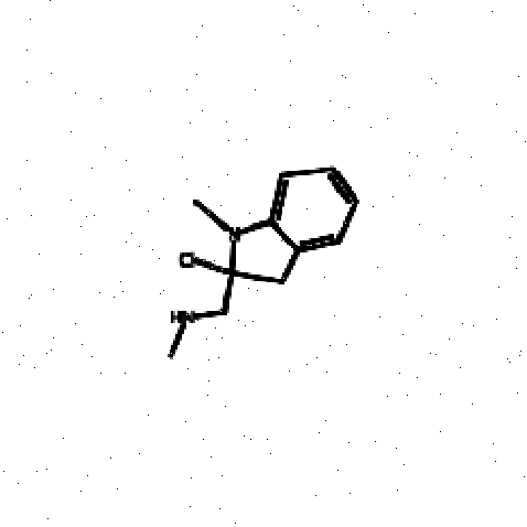 CNCC1(Cl)Cc2ccccc2N1C